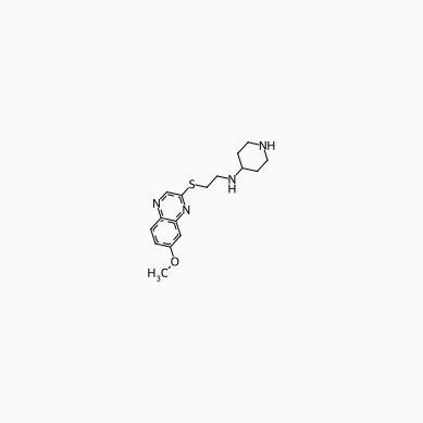 COc1ccc2ncc(SCCNC3CCNCC3)nc2c1